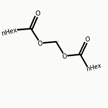 CCCCCCC(=O)O[CH]OC(=O)CCCCCC